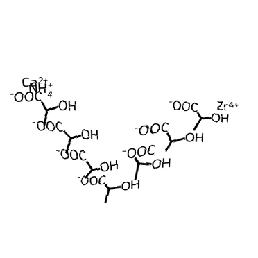 CC(O)C(=O)[O-].CC(O)C(=O)[O-].CC(O)C(=O)[O-].CC(O)C(=O)[O-].CC(O)C(=O)[O-].CC(O)C(=O)[O-].CC(O)C(=O)[O-].[Ca+2].[NH4+].[Zr+4]